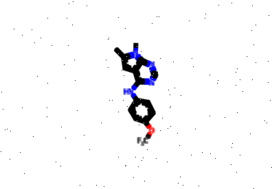 Cc1cc2c(Nc3ccc(OC(F)(F)F)cc3)ncnc2n1C